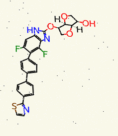 O[C@@H]1CO[C@H]2[C@@H]1OC[C@H]2Oc1nc2c(F)c(-c3ccc(-c4ccc(-c5nccs5)cc4)cc3)c(F)cc2[nH]1